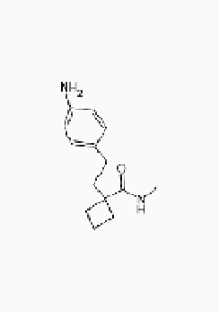 CNC(=O)C1(CCc2ccc(N)cc2)CCC1